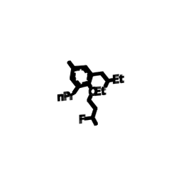 CCCc1cc(C)cc(CC(CC)CC)c1OCCC(C)F